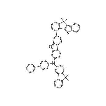 CC1(C)c2ccccc2-c2cc(N(c3ccc(-c4ccccc4)cc3)c3ccc4c(c3)oc3cc(-c5cccc6c5-c5sc7ccccc7c5C6(C)C)ccc34)ccc21